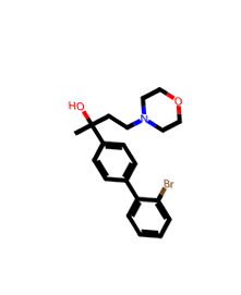 CC(O)(CCN1CCOCC1)c1ccc(-c2ccccc2Br)cc1